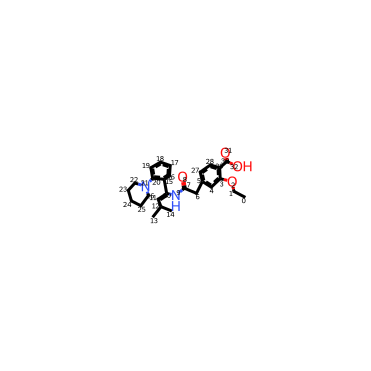 CCOc1cc(CC(=O)NC(=CC(C)C)c2ccccc2N2CCCCC2)ccc1C(=O)O